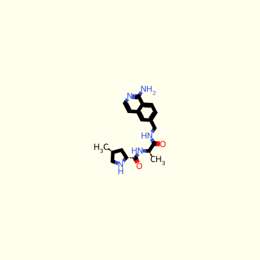 C[C@H]1CN[C@@H](C(=O)N[C@@H](C)C(=O)NCc2ccc3c(N)nccc3c2)C1